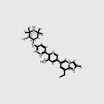 CCc1cc(-c2cnc(-c3ccc(O[C@@H]4CC(C)(C)NC(C)(C)[C@@H]4F)nn3)c(O)c2)cn2cc(C)nc12